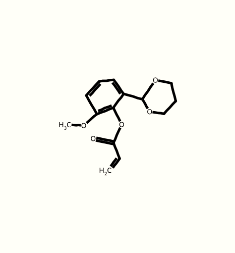 C=CC(=O)Oc1c(OC)cccc1C1OCCCO1